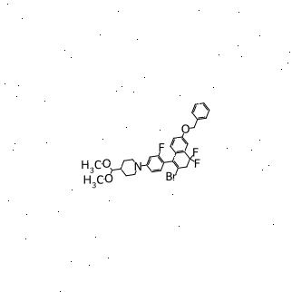 COC(OC)C1CCN(c2ccc(C3=C(Br)CC(F)(F)c4cc(OCc5ccccc5)ccc43)c(F)c2)CC1